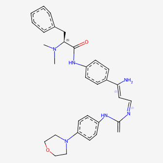 C=C(/N=C\C=C(/N)c1ccc(NC(=O)[C@H](Cc2ccccc2)N(C)C)cc1)Nc1ccc(N2CCOCC2)cc1